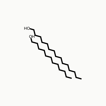 CCCCCCCCCCCCCCCO.CCCCCCCCCCCCO